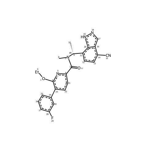 CCOc1nc(C(=O)N(C)[C@H](C)c2ccc(C#N)c3cn[nH]c23)ccc1-c1cccc(F)c1